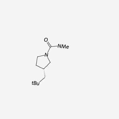 CNC(=O)N1CC[C@@H](CC(C)(C)C)C1